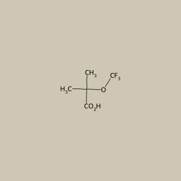 CC(C)(OC(F)(F)F)C(=O)O